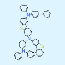 c1ccc(-c2ccc(N(c3ccccc3)c3ccc4sc5cc(N(c6cccc(N(c7ccccc7)c7ccccc7)c6)c6ccc7sc8ccccc8c7c6)ccc5c4c3)cc2)cc1